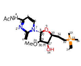 C=C1N=C(NC(C)=O)C=CN1[C@@H]1OC(CCP(=C)(C)C)[C@@H](O)[C@H]1OC